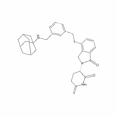 O=C1CCC(N2Cc3c(SCc4cccc(CNC56CC7CC(CC(C7)C5)C6)c4)cccc3C2=O)C(=O)N1